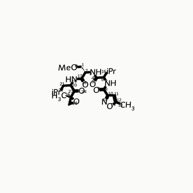 COC[C@H](NC(=O)C(NC(=O)c1cc(C)on1)C(C)C)C(=O)NC(CC(C)C)C(=O)[C@@]1(C)CO1